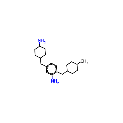 CC1CCC(Cc2ccc(CC3CCC(N)CC3)cc2N)CC1